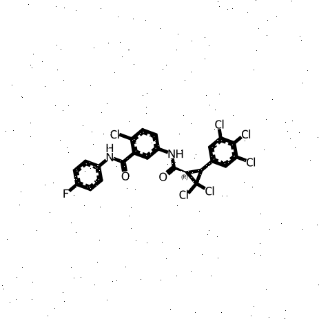 O=C(Nc1ccc(F)cc1)c1cc(NC(=O)[C@H]2C(c3cc(Cl)c(Cl)c(Cl)c3)C2(Cl)Cl)ccc1Cl